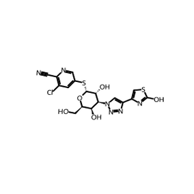 N#Cc1ncc(S[C@H]2O[C@H](CO)[C@H](O)[C@H](n3cc(-c4csc(O)n4)nn3)[C@H]2O)cc1Cl